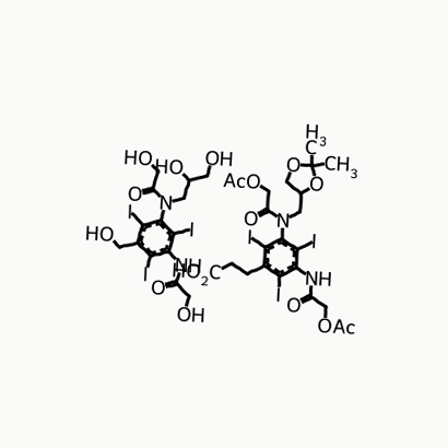 CC(=O)OCC(=O)Nc1c(I)c(CCC(=O)O)c(I)c(N(CC2COC(C)(C)O2)C(=O)COC(C)=O)c1I.O=C(CO)Nc1c(I)c(CO)c(I)c(N(CC(O)CO)C(=O)CO)c1I